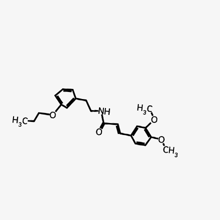 CCCOc1cccc(CCNC(=O)/C=C/c2ccc(OC)c(OC)c2)c1